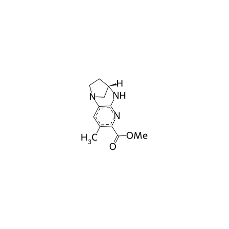 COC(=O)c1nc2c(cc1C)N1CC[C@@H](C1)N2